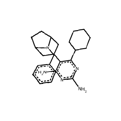 Nc1nc(N)c(C2CC3CCC(C2)N3Cc2ccccc2)c(C2CCCCC2)n1